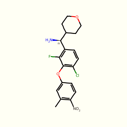 Cc1cc(Oc2c(Cl)ccc([C@@H](N)C3CCOCC3)c2F)ccc1[N+](=O)[O-]